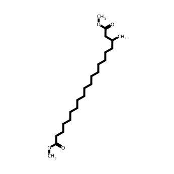 COC(=O)CCCCCCCCCCCCCCCCC(C)CC(=O)OC